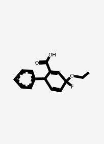 CCOC1(F)C=CC(c2ccccc2)C(C(=O)O)=C1